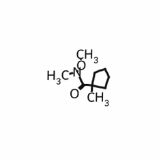 CON(C)C(=O)C1(C)CCCC1